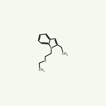 CCOCCn1c(CC)cc2ccccc21